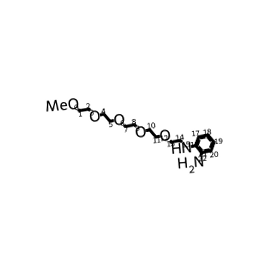 COCCOCCOCCOCCOCCNc1ccccc1N